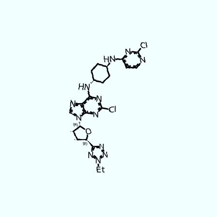 CCn1nnc([C@H]2[CH][CH][C@H](n3cnc4c(N[C@H]5CC[C@H](Nc6ccnc(Cl)n6)CC5)nc(Cl)nc43)O2)n1